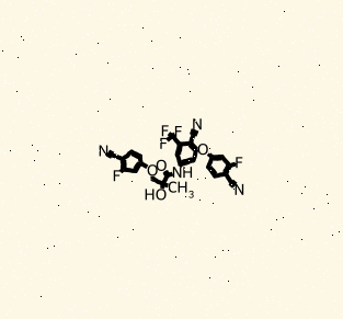 CC(O)(COc1ccc(C#N)c(F)c1)C(=O)Nc1cc(Oc2ccc(C#N)c(F)c2)c(C#N)c(C(F)(F)F)c1